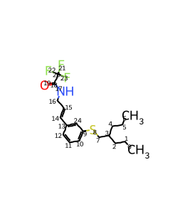 CCCC(CCC)CSc1cccc(/C=C/CNC(=O)C(F)(F)F)c1